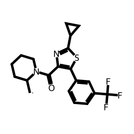 [CH2]C1CCCCN1C(=O)c1nc(C2CC2)sc1-c1cccc(C(F)(F)F)c1